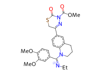 CC/N=C(/c1ccc(OC)c(OC)c1)N1CCCc2cc(C3=NN(C(=O)OC)C(=O)SC3)ccc21